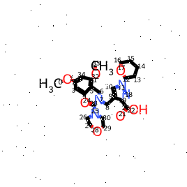 COc1ccc(CN(Cc2cn(C3CCCCO3)nc2C(=O)O)C(=O)N2CCOCC2)c(OC)c1